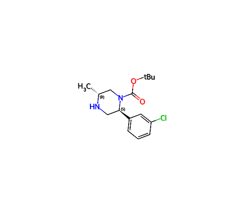 C[C@@H]1CN(C(=O)OC(C)(C)C)[C@@H](c2cccc(Cl)c2)CN1